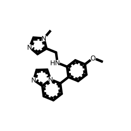 COc1ccc(-c2cccc3nccn23)c(NCc2cncn2C)c1